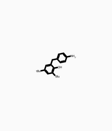 CC(C)(C)c1cc(Cc2ccc(N)cc2)c(O)c(C(C)(C)C)c1